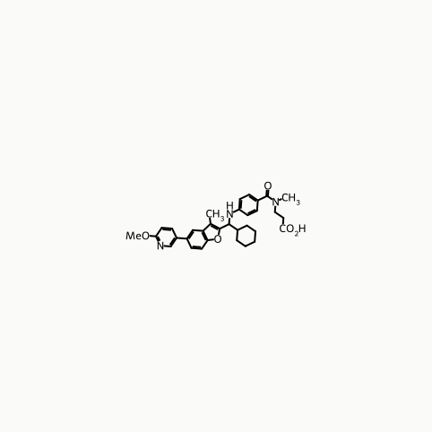 COc1ccc(-c2ccc3oc(C(Nc4ccc(C(=O)N(C)CCC(=O)O)cc4)C4CCCCC4)c(C)c3c2)cn1